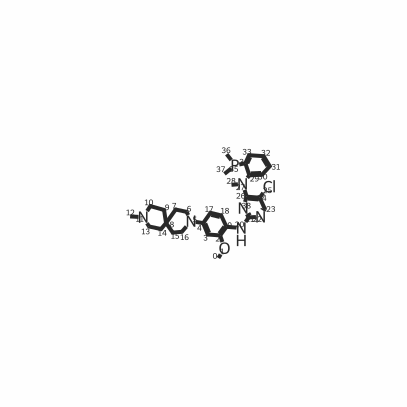 COc1cc(N2CCC3(CCN(C)CC3)CC2)ccc1Nc1ncc(Cl)c(N(C)c2ccccc2P(C)C)n1